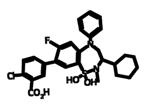 CN1C(C2CCCCC2)CN(c2ccccc2)c2cc(F)c(-c3ccc(Cl)c(C(=O)O)c3)cc2S1(O)O